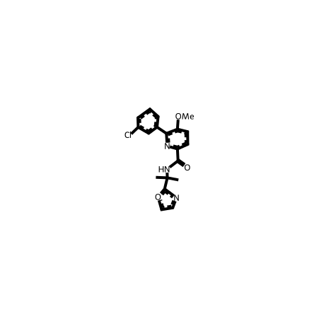 COc1ccc(C(=O)NC(C)(C)c2ncco2)nc1-c1cccc(Cl)c1